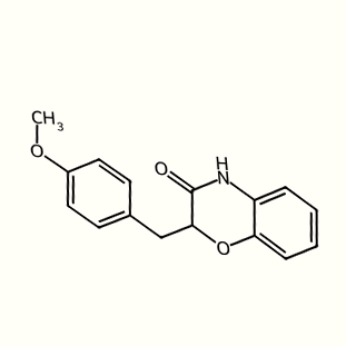 COc1ccc(CC2Oc3ccccc3NC2=O)cc1